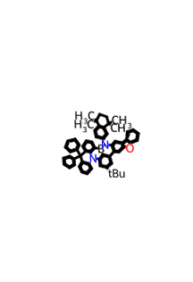 CC(C)(C)c1cc2c3c(c1)N1c4ccccc4C(c4ccccc4)(c4ccccc4)c4cccc(c41)B3N(c1ccc3c(c1)C(C)(C)CCC3(C)C)c1cc3c(cc1-2)oc1ccccc13